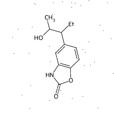 CCC(c1ccc2oc(=O)[nH]c2c1)C(C)O